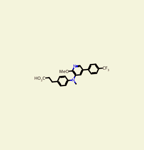 COc1ncc(-c2ccc(C(F)(F)F)cc2)cc1N(C)c1ccc(CCC(=O)O)cc1